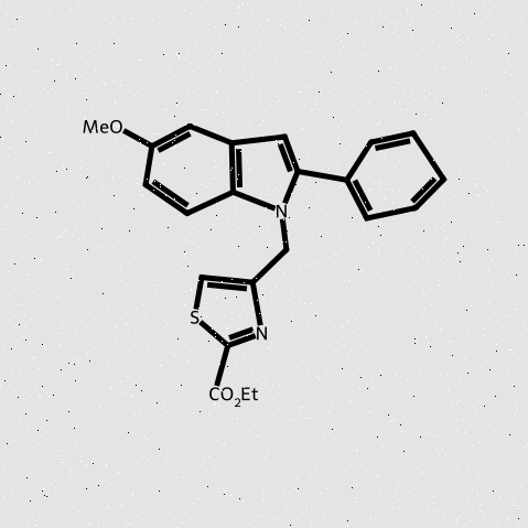 CCOC(=O)c1nc(Cn2c(-c3ccccc3)cc3cc(OC)ccc32)cs1